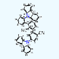 N#Cc1ccc(-n2c3ccccc3c3ccccc32)cc1-c1cccc(-c2ccccc2-n2c3ccccc3c3ccccc32)c1C#N